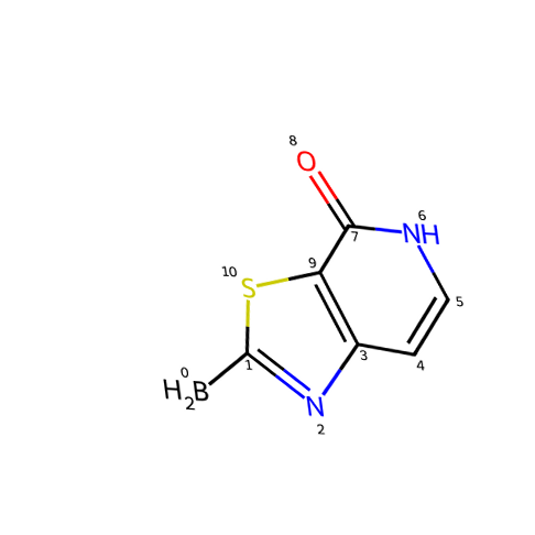 Bc1nc2cc[nH]c(=O)c2s1